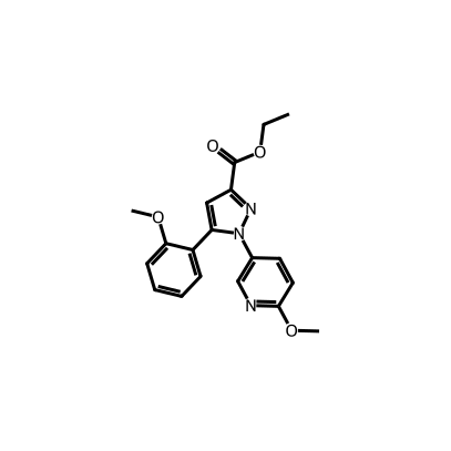 CCOC(=O)c1cc(-c2ccccc2OC)n(-c2ccc(OC)nc2)n1